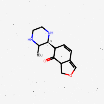 CC(C)(C)C1NCCN[C@H]1C1C=CC2=COCC2C1=O